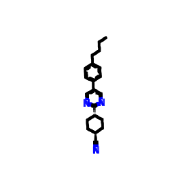 CCCCc1ccc(-c2cnc([C@H]3CC[C@H](C#N)CC3)nc2)cc1